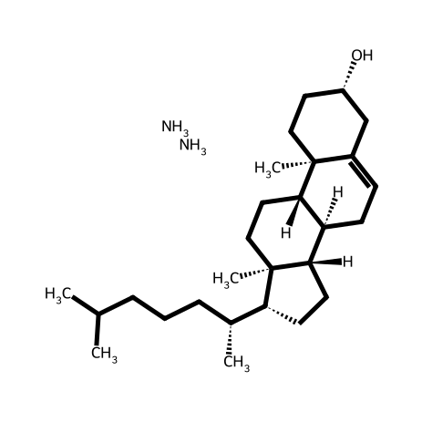 CC(C)CCC[C@@H](C)[C@H]1CC[C@H]2[C@@H]3CC=C4C[C@@H](O)CC[C@]4(C)[C@H]3CC[C@]12C.N.N